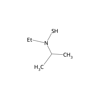 CCN(S)C(C)C